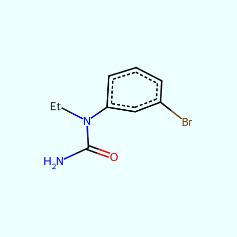 CCN(C(N)=O)c1cccc(Br)c1